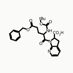 CC(C)(C)OC(=O)NC(CCC(=O)OCc1ccccc1)C(=O)N1c2ncccc2CC1C(=O)O